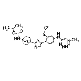 CN/C=C(\N=N)Nc1ccc(-c2cnc(C34CCC(NC(=O)OC(C)C)(CC3)CC4)s2)c(SC2CC2)c1